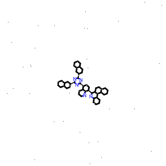 c1ccc2cc(-c3nc(-c4ccc5ccccc5c4)nc(-c4ccc(-c5nc6ccccc6c6c5ccc5ccccc56)c5ncccc45)n3)ccc2c1